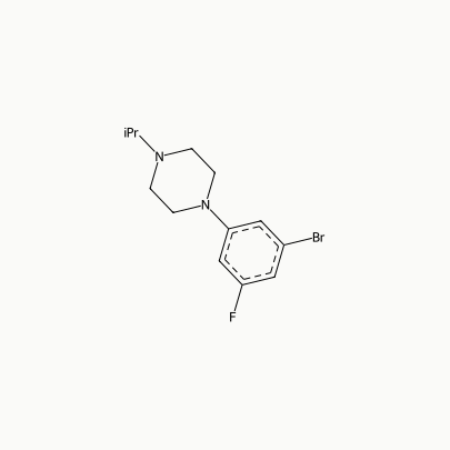 CC(C)N1CCN(c2cc(F)cc(Br)c2)CC1